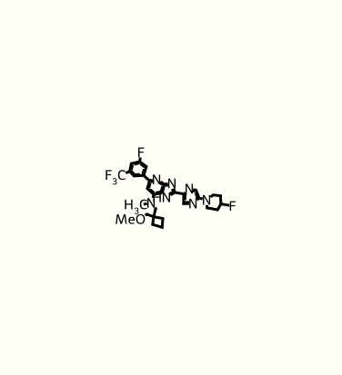 COCC1(CN(C)c2cc(-c3cc(F)cc(C(F)(F)F)c3)nc3nc(-c4cnc(N5CCC(F)CC5)cn4)[nH]c23)CCC1